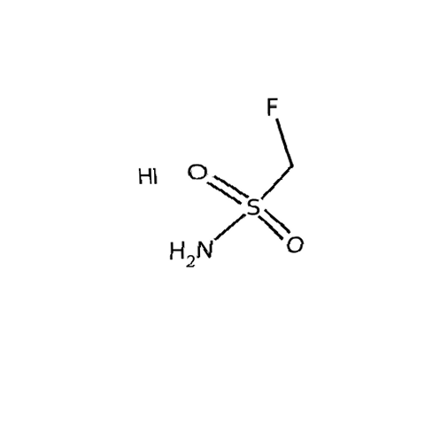 I.NS(=O)(=O)CF